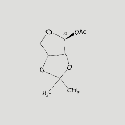 CC(=O)O[C@@H]1OCC2OC(C)(C)OC21